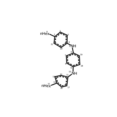 CCCCCCc1ccc(Nc2ccc(Nc3ccc(CCCCCC)cc3)cc2)cc1